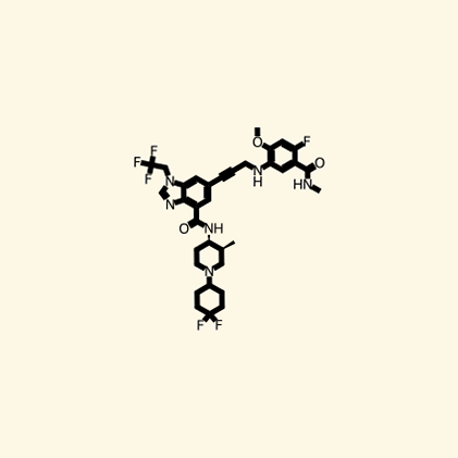 CNC(=O)c1cc(NCC#Cc2cc(C(=O)N[C@H]3CCN(C4CCC(F)(F)CC4)C[C@@H]3C)c3ncn(CC(F)(F)F)c3c2)c(OC)cc1F